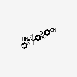 N#Cc1ccc(S(=O)(=O)c2ccc(CNC(=N)Nc3ccncc3)cc2)cc1